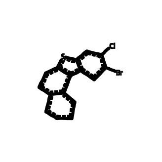 Clc1cc2sc3ccc4ccccc4c3c2cc1Br